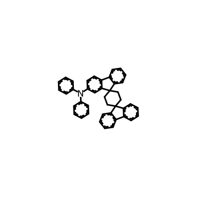 c1ccc(N(c2ccccc2)c2ccc3c(c2)C2(CCC4(CC2)c2ccccc2-c2ccccc24)c2ccccc2-3)cc1